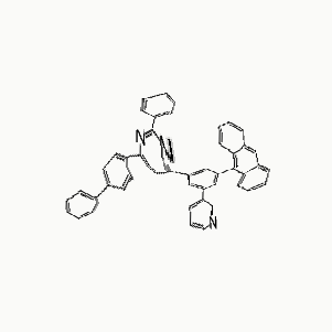 c1ccc(-c2ccc(-c3cc(-c4cc(-c5cccnc5)cc(-c5c6ccccc6cc6ccccc56)c4)nc(-c4ccccc4)n3)cc2)cc1